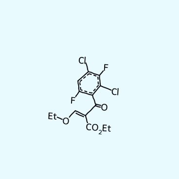 CCOC=C(C(=O)OCC)C(=O)c1c(F)cc(Cl)c(F)c1Cl